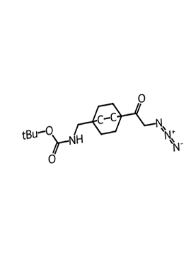 CC(C)(C)OC(=O)NCC12CCC(C(=O)CN=[N+]=[N-])(CC1)CC2